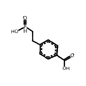 O=C(O)c1ccc(CC[PH](=O)O)cc1